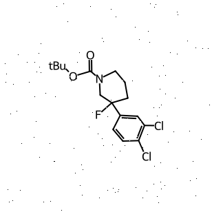 CC(C)(C)OC(=O)N1CCCC(F)(c2ccc(Cl)c(Cl)c2)C1